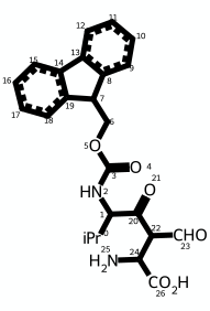 CC(C)C(NC(=O)OCC1c2ccccc2-c2ccccc21)C(=O)C(C=O)C(N)C(=O)O